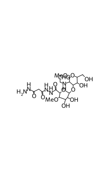 COC1OC(CO)C(O)C(OC2OC(C(=O)NNC(=O)CC(=O)NN)C(OC)C(O)C2O)C1NCC=O